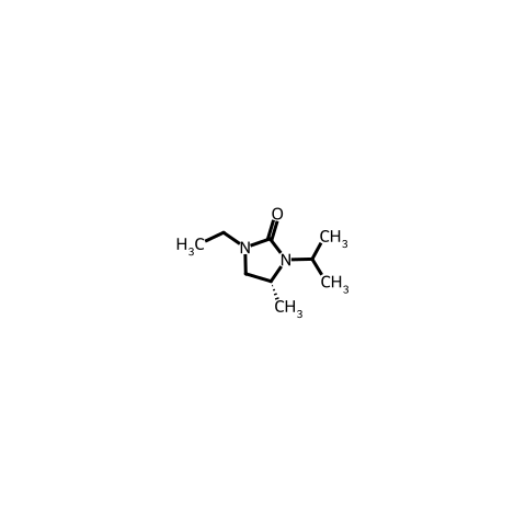 CCN1C[C@@H](C)N(C(C)C)C1=O